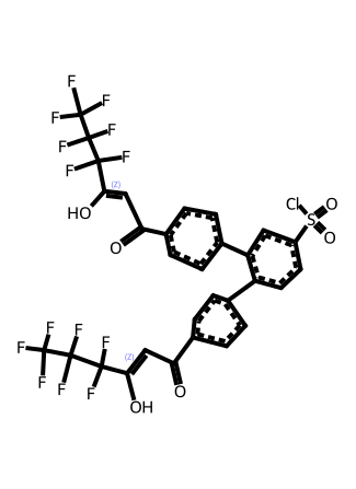 O=C(/C=C(\O)C(F)(F)C(F)(F)C(F)(F)F)c1ccc(-c2ccc(S(=O)(=O)Cl)cc2-c2ccc(C(=O)/C=C(\O)C(F)(F)C(F)(F)C(F)(F)F)cc2)cc1